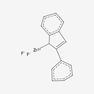 [F-].[F-].[Zr+2][CH]1C(c2ccccc2)=Cc2ccccc21